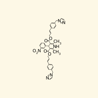 CC1=C(C(=O)OC/C=C/c2ccc(Cn3ccnc3)cc2)C(c2cccc([N+](=O)[O-])c2)C(C(=O)OC/C=C/c2ccc(Cn3ccnc3)cc2)=C(C)N1